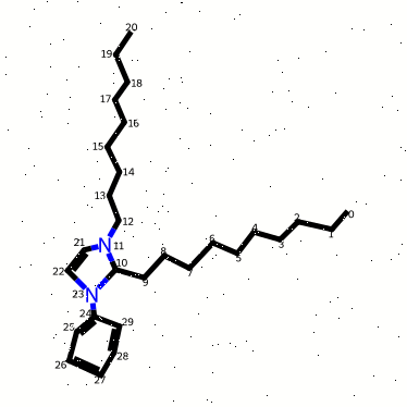 CCCCCCCCCCC1N(CCCCCCCCC)C=CN1c1ccccc1